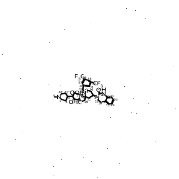 CN1CCC(C2CCN(C3(CC=O)CC(N4CCc5ccccc5NC4=O)CC[N@+]3(Cc3cc(C(F)(F)F)cc(C(F)(F)F)c3)C(=O)[O-])CC2)CC1